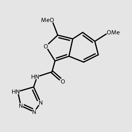 COc1ccc2c(C(=O)Nc3nnn[nH]3)oc(OC)c2c1